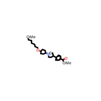 COCCCCCCOC1CCC(N2CCC(c3ccc(C(=O)OC)cc3)CC2)CC1